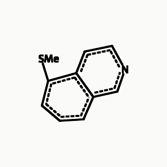 CSc1cccc2cnccc12